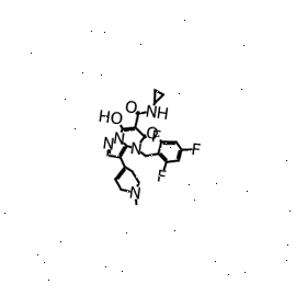 CN1CC=C(c2cnn3c(O)c(C(=O)NC4CC4)c(=O)n(Cc4c(F)cc(F)cc4F)c23)CC1